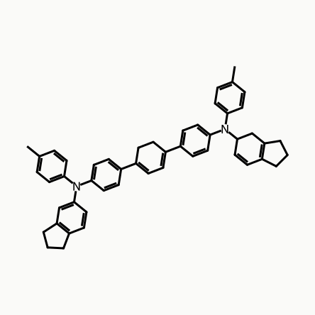 Cc1ccc(N(c2ccc(C3=CC=C(c4ccc(N(c5ccc(C)cc5)C5C=CC6=C(CCC6)C5)cc4)CC3)cc2)c2ccc3c(c2)CCC3)cc1